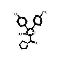 Cc1ccc(-c2nc(C(=O)N3CCCC3)n(C)c2-c2ccc(C)cc2)cc1